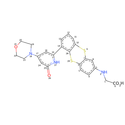 O=C(O)CNc1ccc2c(c1)Sc1cccc(-c3cc(N4CCOCC4)cc(=O)[nH]3)c1S2